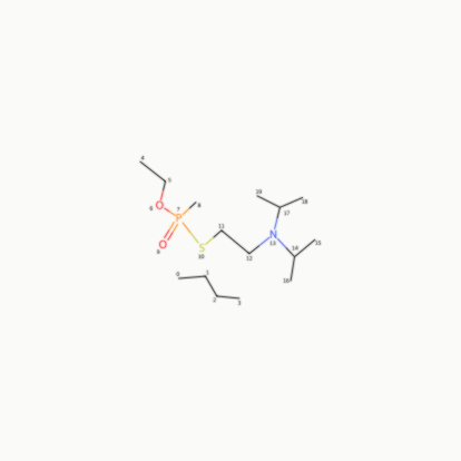 CCCC.CCOP(C)(=O)SCCN(C(C)C)C(C)C